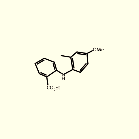 CCOC(=O)c1ccccc1Nc1ccc(OC)cc1C